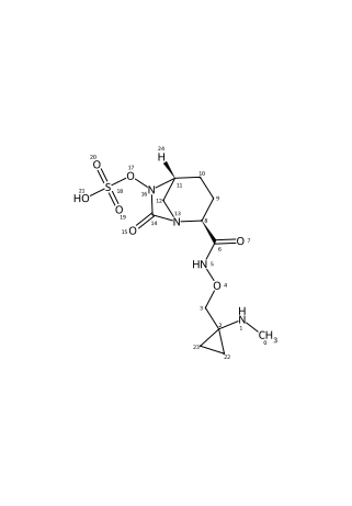 CNC1(CONC(=O)[C@@H]2CC[C@@H]3CN2C(=O)N3OS(=O)(=O)O)CC1